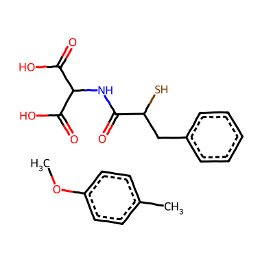 COc1ccc(C)cc1.O=C(NC(C(=O)O)C(=O)O)C(S)Cc1ccccc1